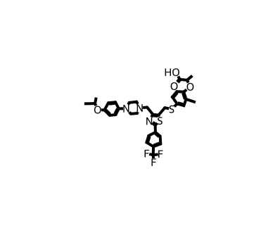 Cc1cc(SCc2sc(-c3ccc(C(F)(F)F)cc3)nc2CN2CCN(c3ccc(OC(C)C)cc3)CC2)ccc1OC(C)C(=O)O